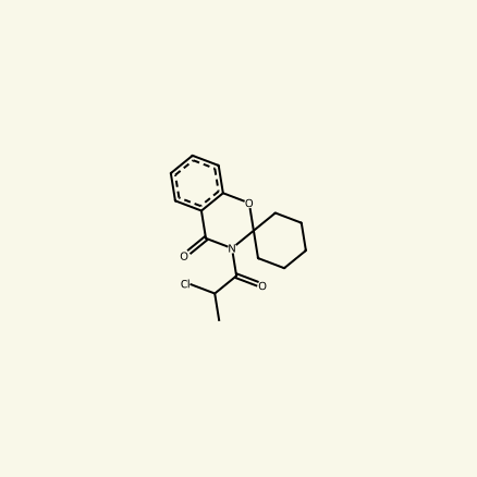 CC(Cl)C(=O)N1C(=O)c2ccccc2OC12CCCCC2